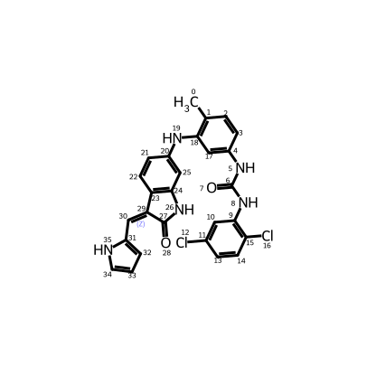 Cc1ccc(NC(=O)Nc2cc(Cl)ccc2Cl)cc1Nc1ccc2c(c1)NC(=O)/C2=C\c1ccc[nH]1